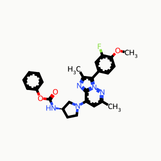 COc1ccc(-c2c(C)nc3c(N4CC[C@@H](NC(=O)Oc5ccccc5)C4)cc(C)nn23)cc1F